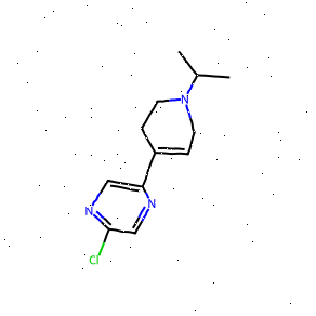 CC(C)N1CC=C(c2cnc(Cl)cn2)CC1